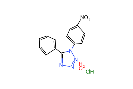 Cl.O.O=[N+]([O-])c1ccc(-n2nnnc2-c2ccccc2)cc1